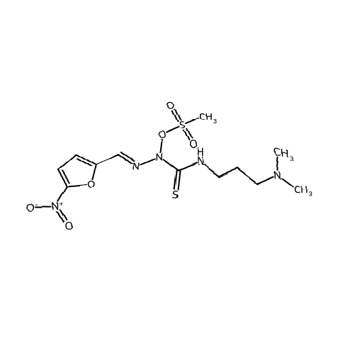 CN(C)CCCNC(=S)N(N=Cc1ccc([N+](=O)[O-])o1)OS(C)(=O)=O